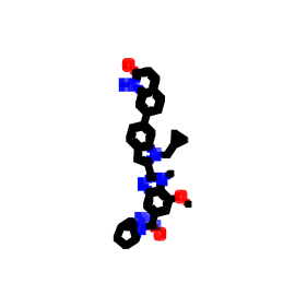 COc1cc(C(=O)N2CC3CCC2C3N)cc2nc(-c3cc4ccc(-c5ccc6ccc(=O)[nH]c6c5)cc4n3CC3CC3)n(C)c12